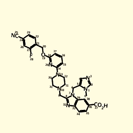 Cn1cncc1Cn1c(CN2CCN(c3cccc(OCc4ccc(C#N)cc4F)n3)CC2)nc2ccc(C(=O)O)cc21